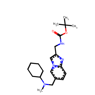 CN(Cc1ccc2nc(CNC(=O)OC(C)(C)C)cn2c1)C1CCCCC1